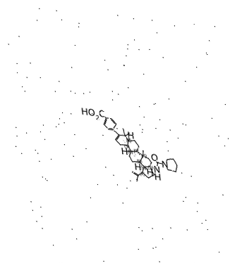 C=C(C)[C@@H]1CC[C@]2(NC(=O)N3CCCCC3)CC[C@]3(C)[C@H](CC[C@@H]4[C@@]5(C)CC=C(c6ccc(C(=O)O)cc6)C(C)(C)[C@@H]5CC[C@]43C)[C@@H]12